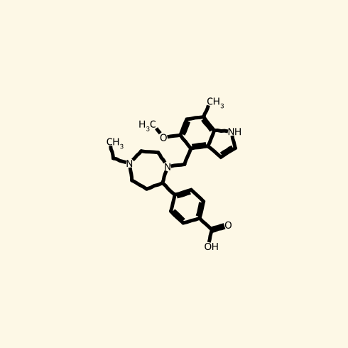 CCN1CCC(c2ccc(C(=O)O)cc2)N(Cc2c(OC)cc(C)c3[nH]ccc23)CC1